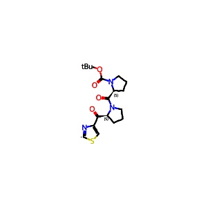 CC(C)(C)OC(=O)N1CCC[C@H]1C(=O)N1CCC[C@H]1C(=O)c1cs[c]n1